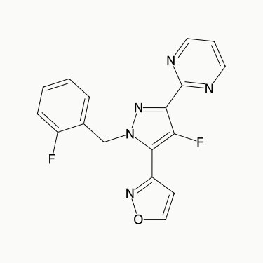 Fc1ccccc1Cn1nc(-c2ncccn2)c(F)c1-c1ccon1